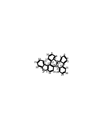 c1ccc2c(c1)B1c3ccccc3-c3c(ccc4sc5ccccc5c34)N1c1ccccc1-2